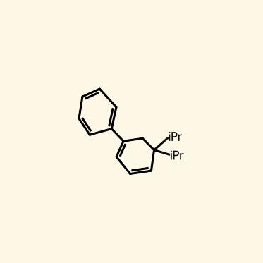 CC(C)C1(C(C)C)C=CC=C(c2ccccc2)C1